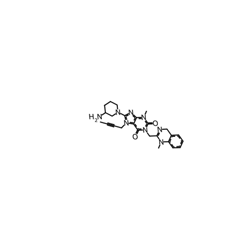 CC#CCn1c(N2CCCC(N)C2)nc2c1c(=O)n(CC1=NCc3ccccc3N1C)c(=O)n2C